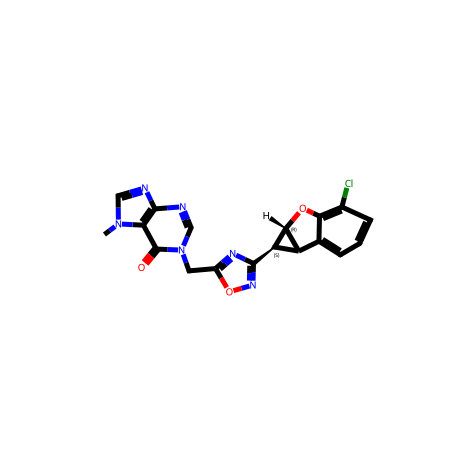 Cn1cnc2ncn(Cc3nc([C@@H]4C5c6cccc(Cl)c6O[C@H]54)no3)c(=O)c21